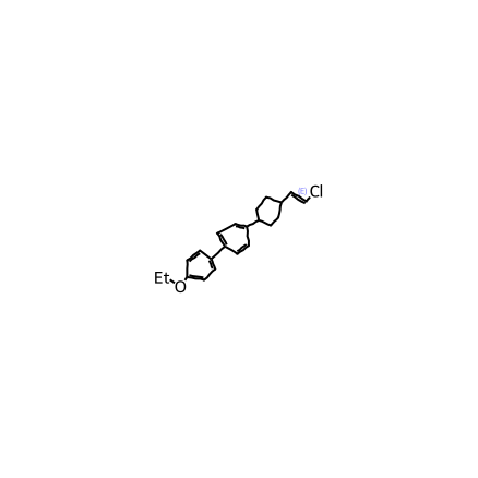 CCOc1ccc(-c2ccc(C3CCC(/C=C/Cl)CC3)cc2)cc1